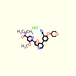 COc1cc(C(=O)N(C)C)cnc1-c1cc2nccc(-c3ccc(OC4CCOCC4)c(C#N)c3)c2o1.Cl